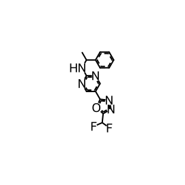 CC(Nc1ncc(-c2nnc(C(F)F)o2)cn1)c1ccccc1